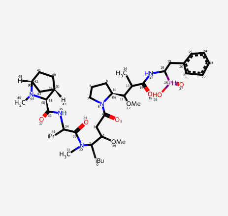 CCC(C)C(C(CC(=O)N1CCC[C@H]1C(OC)C(C)C(=O)NC(Cc1ccccc1)[PH](=O)O)OC)N(C)C(=O)C(NC(=O)[C@@H]1[C@H]2CC[C@H](C2)N1C)C(C)C